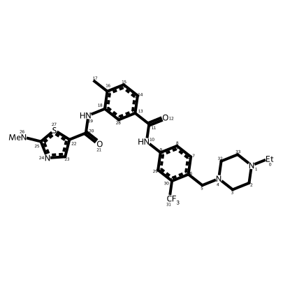 CCN1CCN(Cc2ccc(NC(=O)c3ccc(C)c(NC(=O)c4cnc(NC)s4)c3)cc2C(F)(F)F)CC1